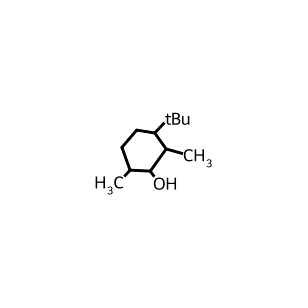 CC1CCC(C(C)(C)C)C(C)C1O